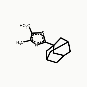 Cc1nc(C23CC4CC(CC(C4)C2)C3)sc1C(=O)O